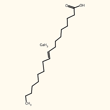 CCCCCCCCC=CCCCCCCCC(=O)O.[GaH3]